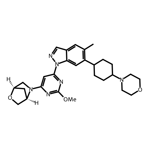 COc1nc(N2C[C@H]3C[C@@H]2CO3)cc(-n2ncc3cc(C)c(C4CCC(N5CCOCC5)CC4)cc32)n1